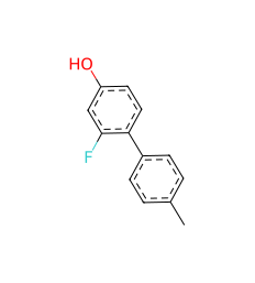 Cc1ccc(-c2ccc(O)cc2F)cc1